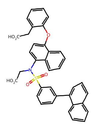 O=C(O)Cc1ccccc1Oc1ccc(N(CC(=O)O)S(=O)(=O)c2cccc(-c3cccc4ccccc34)c2)c2ccccc12